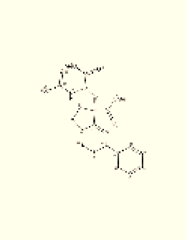 COC(=O)[C@H](C[C@@]1(C(=O)OC)CCC/C1=N\C(SI)c1ccccc1)NC(=O)C(F)(F)F